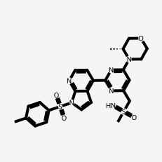 Cc1ccc(S(=O)(=O)n2ccc3c(-c4nc(CS(C)(=N)=O)cc(N5CCOC[C@H]5C)n4)ccnc32)cc1